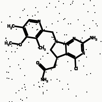 COc1c(C)cnc(CN2C[C@H](CC(N)=O)c3c(Cl)nc(N)nc32)c1C